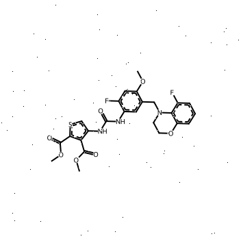 COC(=O)c1scc(NC(=O)Nc2cc(CN3CCOc4cccc(F)c43)c(OC)cc2F)c1C(=O)OC